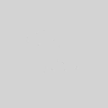 Cc1nc(C#Cc2nc(-c3nccs3)cn2C)c2c(F)cccc2n1